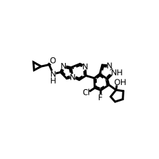 O=C(Nc1cn2cc(-c3c(Cl)c(F)c(C4(O)CCCC4)c4[nH]ncc34)ncc2n1)C1CC1